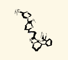 Cc1cn(-c2ccc(/C=C/c3nc4n(n3)CCCC4c3ccccc3C(F)(F)F)nc2C)cn1